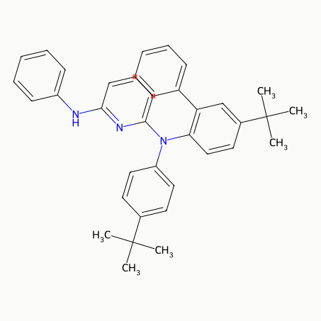 CC(C)(C)c1ccc(N(c2cccc(Nc3ccccc3)n2)c2ccc(C(C)(C)C)cc2-c2ccccc2)cc1